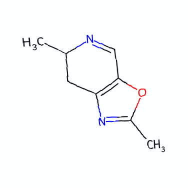 Cc1nc2c(o1)C=NC(C)C2